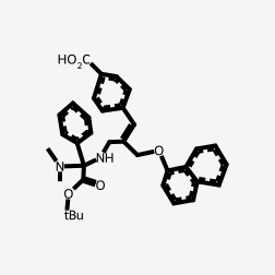 CN(C)C(NCC(=Cc1ccc(C(=O)O)cc1)COc1cccc2ccccc12)(C(=O)OC(C)(C)C)c1ccccc1